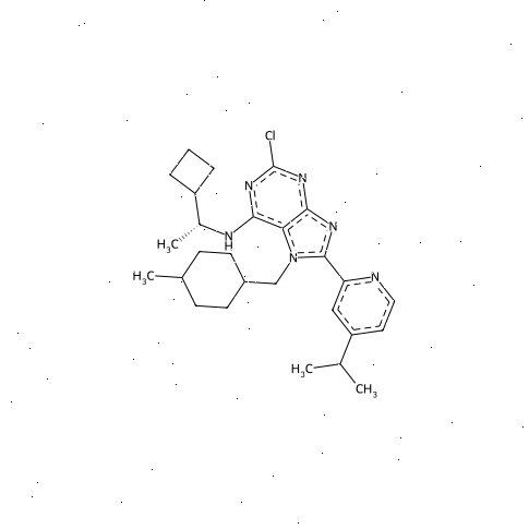 CC1CCC(Cn2c(-c3cc(C(C)C)ccn3)nc3nc(Cl)nc(N[C@H](C)C4CCC4)c32)CC1